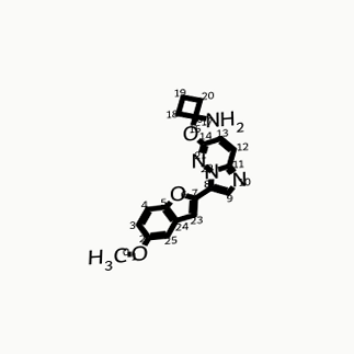 COc1ccc2oc(-c3cnc4ccc(OC5(N)CCC5)nn34)cc2c1